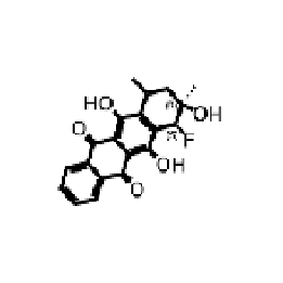 CC1C[C@@](C)(O)[C@@H](F)c2c(O)c3c(c(O)c21)C(=O)c1ccccc1C3=O